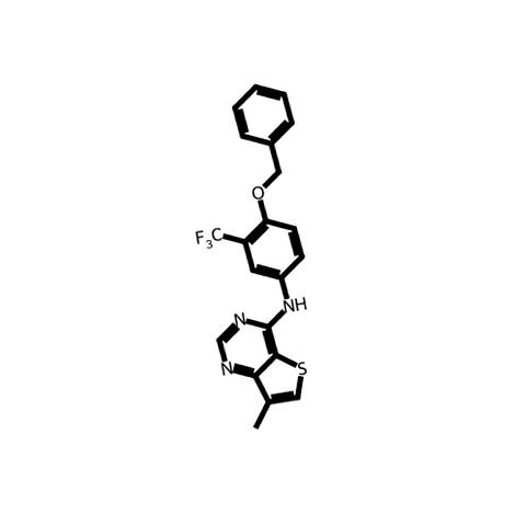 Cc1csc2c(Nc3ccc(OCc4ccccc4)c(C(F)(F)F)c3)ncnc12